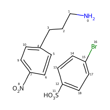 NCCCc1ccc([N+](=O)[O-])cc1.O=S(=O)(O)c1ccc(Br)cc1